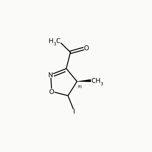 CC(=O)C1=NOC(I)[C@@H]1C